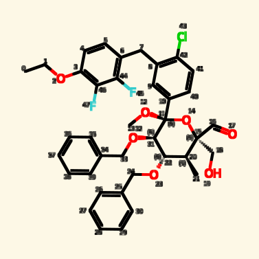 CCOc1ccc(Cc2cc([C@]3(OC)O[C@](C=O)(CO)[C@@H](C)[C@H](OCc4ccccc4)[C@H]3OCc3ccccc3)ccc2Cl)c(F)c1F